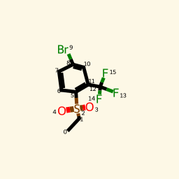 CCS(=O)(=O)c1ccc(Br)cc1C(F)(F)F